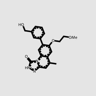 COCCOc1cc2c(C)cc3n[nH]c(=O)n3c2cc1-c1cccc(CO)c1